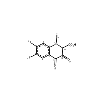 CCN1c2cc(F)c(F)cc2C(=O)C(=O)C1C(=O)O